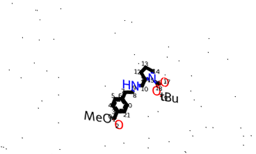 COC(=O)c1ccc(CCNCC2CCCN2C(=O)OC(C)(C)C)cc1